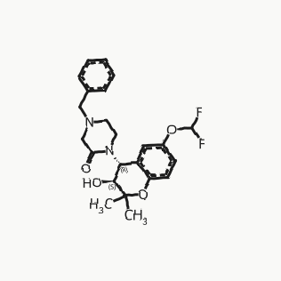 CC1(C)Oc2ccc(OC(F)F)cc2[C@@H](N2CCN(Cc3ccccc3)CC2=O)[C@@H]1O